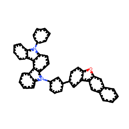 c1ccc(-n2c3ccccc3c3c4c5ccccc5n(-c5cccc(-c6ccc7oc8cc9ccccc9cc8c7c6)c5)c4ccc32)cc1